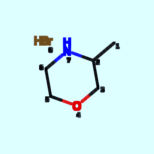 Br.CC1COCCN1